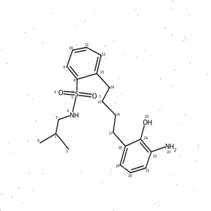 CC(C)CNS(=O)(=O)c1ccccc1CCCCc1cccc(N)c1O